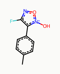 Cc1ccc(-c2c(F)no[n+]2O)cc1